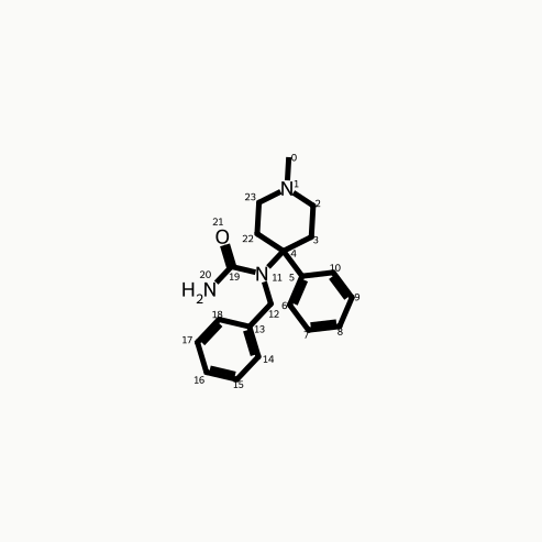 CN1CCC(c2ccccc2)(N(Cc2ccccc2)C(N)=O)CC1